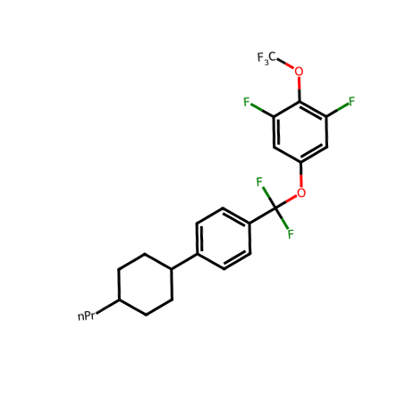 CCCC1CCC(c2ccc(C(F)(F)Oc3cc(F)c(OC(F)(F)F)c(F)c3)cc2)CC1